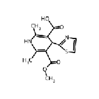 COC(=O)C1=C(C)NC(C)=C(C(=O)O)C1c1nccs1